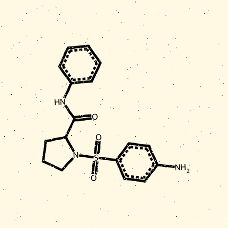 Nc1ccc(S(=O)(=O)N2CCCC2C(=O)Nc2ccccc2)cc1